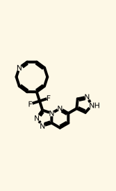 FC(F)(C1=C/C/C=C\C=N/C/C=C\1)c1nnc2ccc(-c3cn[nH]c3)nn12